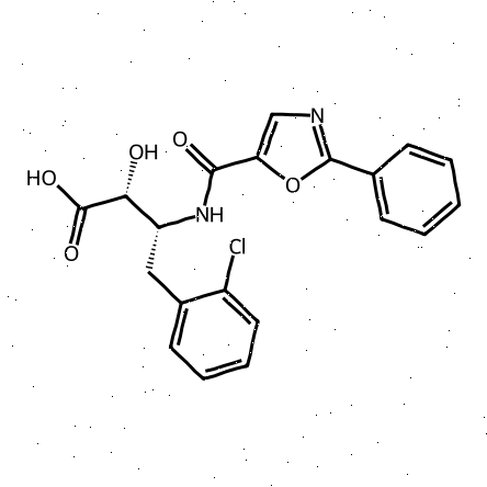 O=C(N[C@H](Cc1ccccc1Cl)[C@@H](O)C(=O)O)c1cnc(-c2ccccc2)o1